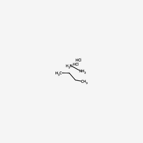 CCCC.Cl.Cl.NN